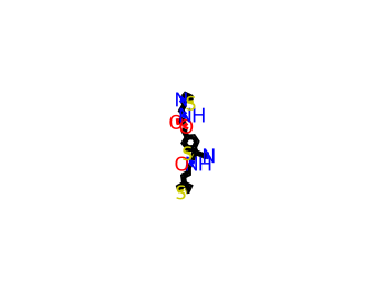 N#Cc1c(NC(=O)C=Cc2ccsc2)sc2c1CCC(COC(=O)NCc1nccs1)C2